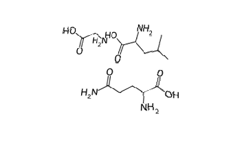 CC(C)CC(N)C(=O)O.NC(=O)CCC(N)C(=O)O.NCC(=O)O